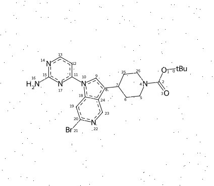 CC(C)(C)OC(=O)N1CCC(c2cn(-c3ccnc(N)n3)c3cc(Br)ncc23)CC1